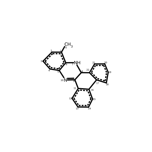 Cc1cccc2c1NC1C(=N2)c2ccccc2-c2ccccc21